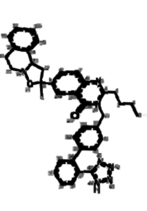 CCCCc1nc2ccc(C3(C)CC4c5ccccc5CCN4O3)cc2c(=O)n1Cc1ccc(-c2ccccc2-c2nnn[nH]2)cc1